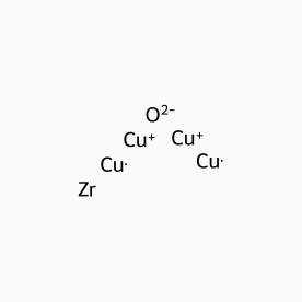 [Cu+].[Cu+].[Cu].[Cu].[O-2].[Zr]